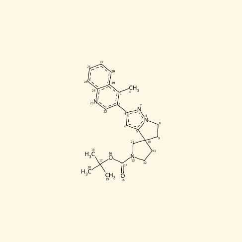 Cc1c(-c2cc3n(n2)CCC32CCN(C(=O)OC(C)(C)C)C2)cnc2ccccc12